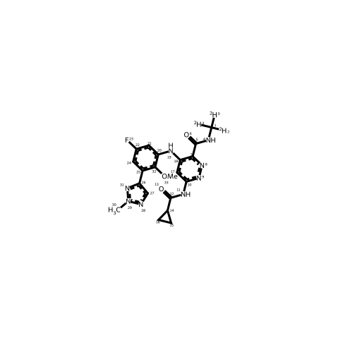 [2H]C([2H])([2H])NC(=O)c1nnc(NC(=O)C2CC2)cc1Nc1cc(F)cc(-c2cnn(C)n2)c1OC